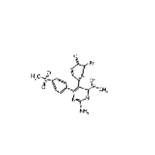 CC(C)n1nc(-c2c(-c3ccc(S(C)(=O)=O)cc3)nc(N)nc2[S+](C)[O-])ccc1=O